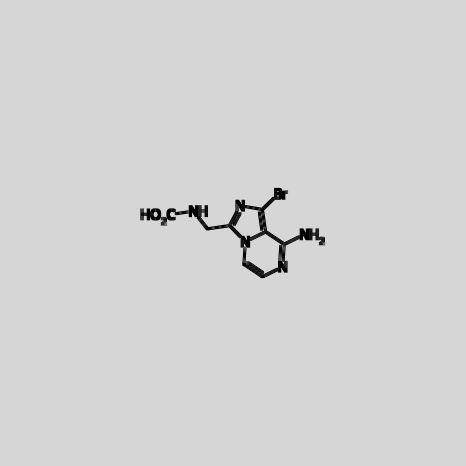 Nc1nccn2c(CNC(=O)O)nc(Br)c12